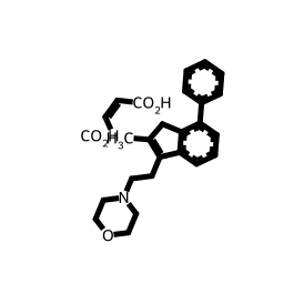 CC1=C(CCN2CCOCC2)c2cccc(-c3ccccc3)c2C1.O=C(O)/C=C\C(=O)O